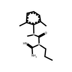 CCCN(C(=N)N)C(=O)N(C)c1c(C)cccc1C